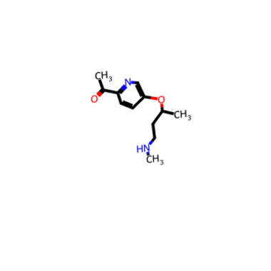 CNCCC(C)Oc1ccc(C(C)=O)nc1